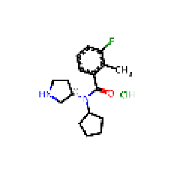 Cc1c(F)cccc1C(=O)N(C1CCCC1)[C@H]1CCNC1.Cl